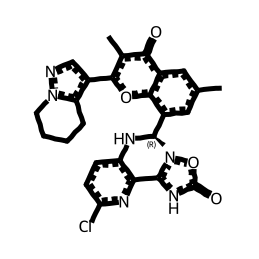 Cc1cc([C@@H](C)Nc2ccc(Cl)nc2-c2noc(=O)[nH]2)c2oc(-c3cnn4c3CCCC4)c(C)c(=O)c2c1